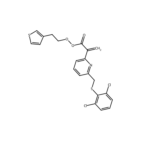 C=C(C(=O)OOCCc1ccsc1)c1cccc(CSc2c(Cl)cccc2Cl)n1